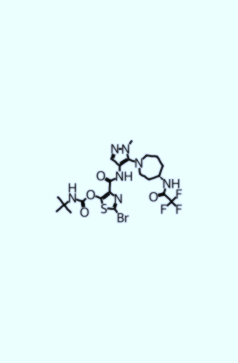 Cn1ncc(NC(=O)c2nc(Br)sc2OC(=O)NC(C)(C)C)c1N1CCC[C@@H](NC(=O)C(F)(F)F)CC1